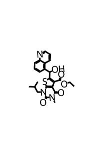 CCOC(=O)c1c(C(O)c2cccc3ncccc23)sc2c1c(=O)n(C)c(=O)n2CC(C)C